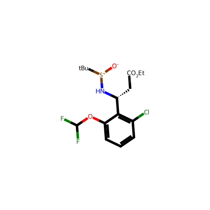 CCOC(=O)C[C@@H](N[S+]([O-])C(C)(C)C)c1c(Cl)cccc1OC(F)F